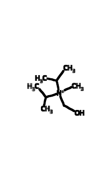 CC(C)[N+](C)(CO)C(C)C